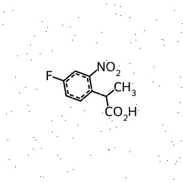 CC(C(=O)O)c1ccc(F)cc1[N+](=O)[O-]